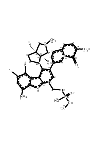 CNc1cc(F)c(F)c2c3c(N4CC[C@H]5CN(C)C[C@H]54)c(-c4ccc5ccc(C(=O)O)c(=O)n5c4)cn(COP(=O)(O)OC(C)(C)C)c-3nc12